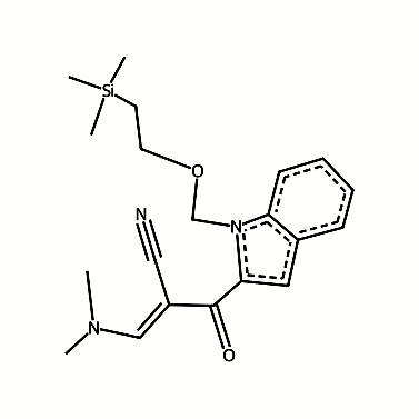 CN(C)C=C(C#N)C(=O)c1cc2ccccc2n1COCC[Si](C)(C)C